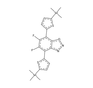 [CH3][Sn]([CH3])([CH3])[c]1ccc(-c2c(F)c(F)c(-c3cc[c]([Sn]([CH3])([CH3])[CH3])s3)c3onnc23)s1